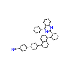 N#Cc1ccc(-c2ccc(-c3cccc4c(-c5ccccc5-c5nc(-c6ccccc6)c6ccccc6n5)cccc34)cc2)cc1